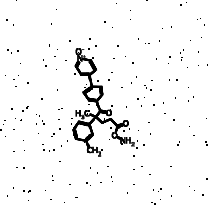 [CH2]c1cccc(C(C)(CCC(=O)ON)C(=O)c2ccc(-c3cc[n+]([O-])cc3)cc2)c1